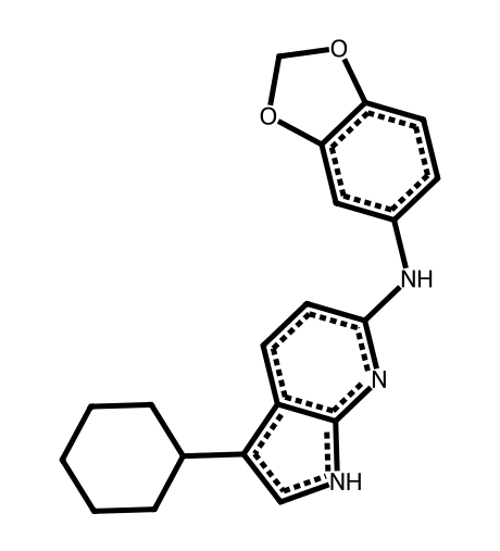 c1cc2c(cc1Nc1ccc3c(C4CCCCC4)c[nH]c3n1)OCO2